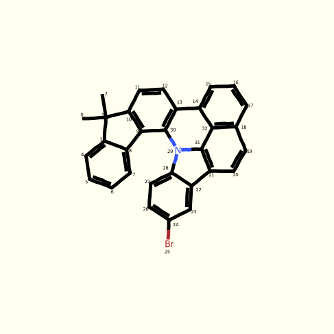 CC1(C)c2ccccc2-c2c1ccc1c3cccc4ccc5c6cc(Br)ccc6n(c21)c5c43